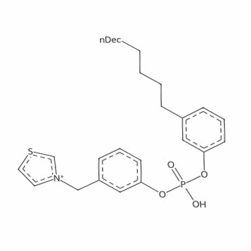 CCCCCCCCCCCCCCc1cccc(OP(=O)(O)Oc2cccc(C[n+]3ccsc3)c2)c1